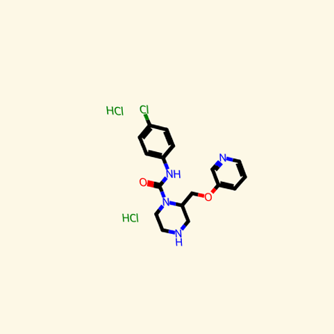 Cl.Cl.O=C(Nc1ccc(Cl)cc1)N1CCNCC1COc1cccnc1